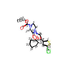 CC(C)(C)OC(=O)N1CCN(C[C@@H](c2csc(Cl)c2)C2(O)CCCCC2)CC1